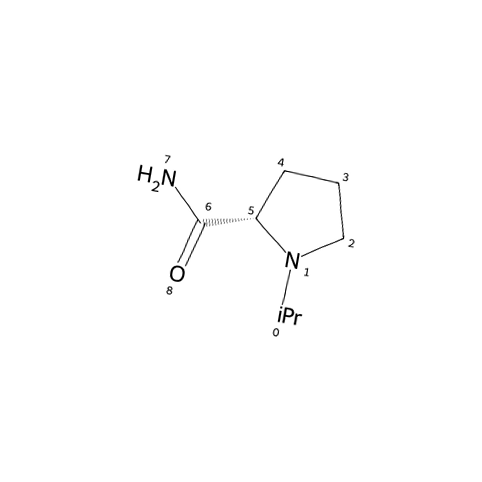 CC(C)N1CCC[C@H]1C(N)=O